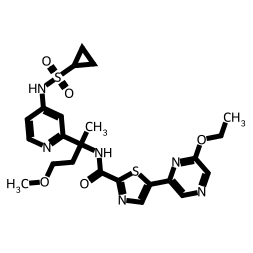 CCOc1cncc(-c2cnc(C(=O)NC(C)(CCOC)c3cc(NS(=O)(=O)C4CC4)ccn3)s2)n1